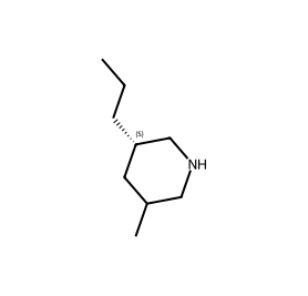 CCC[C@@H]1CNCC(C)C1